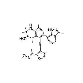 CO/N=C(\C)c1sccc1C#Cc1c(-c2cccc3c(C)c[nH]c23)cc(C)c2c1[C@H](C)[C@@H](O)C(C)(C)N2